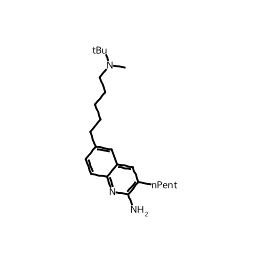 CCCCCc1cc2cc(CCCCCN(C)C(C)(C)C)ccc2nc1N